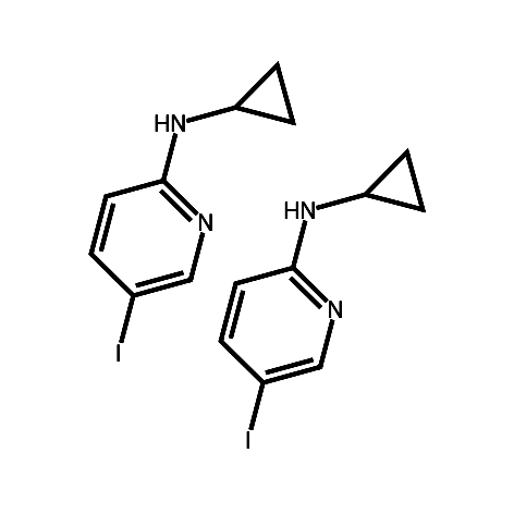 Ic1ccc(NC2CC2)nc1.Ic1ccc(NC2CC2)nc1